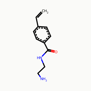 C=Cc1ccc(C(=O)NCCN)cc1